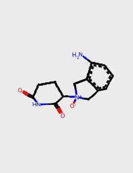 Nc1cccc2c1C[N+]([O-])(C1CCC(=O)NC1=O)C2